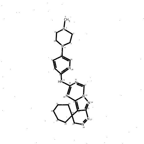 CN1CCN(c2ccc(Nc3ncn4nc5c(c4n3)C3(CCCCC3)CN=N5)nc2)CC1